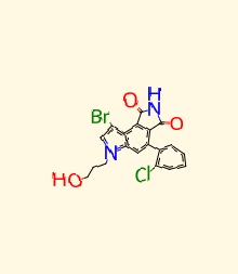 O=C1NC(=O)c2c1c(-c1ccccc1Cl)cc1c2c(Br)cn1CCCO